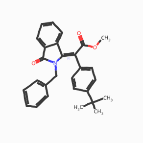 COC(=O)/C(=C1\c2ccccc2C(=O)N1Cc1ccccc1)c1ccc(C(C)(C)C)cc1